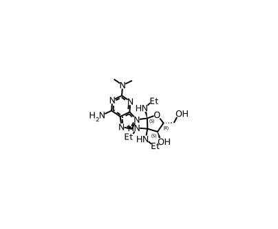 CCNC1(NCC)[C@H](O)[C@@H](CO)O[C@@]1(NCC)n1cnc2c(N)nc(N(C)C)nc21